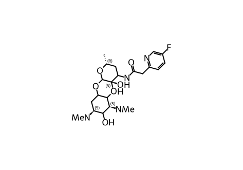 CN[C@@H]1C2O[C@@]3(O)C(NC(=O)Cc4ccc(F)cn4)C[C@@H](C)OC3OC2C[C@H](NC)C1O